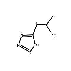 [CH2]C(S)Cc1nnco1